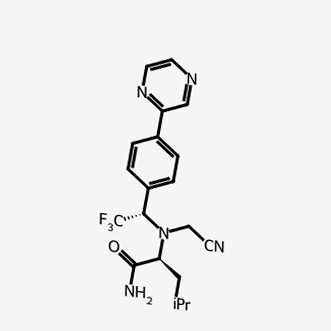 CC(C)C[C@@H](C(N)=O)N(CC#N)[C@@H](c1ccc(-c2cnccn2)cc1)C(F)(F)F